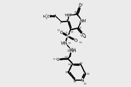 C=CCc1[nH]c(=O)[nH]c(=O)c1S(=O)(=O)NNC(=O)c1ccncc1